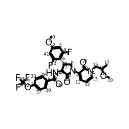 COc1cc(F)c([C@@H]2CN(c3cccn(CC(C)OC)c3=O)C(=O)[C@H]2NC(=O)c2ccc(OC(F)(F)F)cc2)c(F)c1